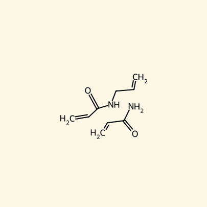 C=CC(N)=O.C=CCNC(=O)C=C